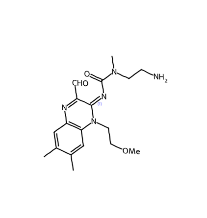 COCCn1/c(=N/C(=O)N(C)CCN)c(C=O)nc2cc(C)c(C)cc21